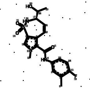 Cc1cc(NC(=O)c2c3c(cn2C)S(=O)(=O)N[C@@H](C(C)O)C=C3)ccc1F